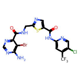 Nc1ncnc(C(=O)NCc2ncc(C(=O)Nc3cc(C(F)(F)F)c(Cl)cn3)s2)c1Br